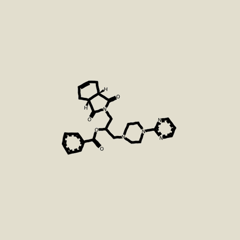 O=C(OC(CN1CCN(c2ncccn2)CC1)CN1C(=O)[C@H]2CC=CC[C@H]2C1=O)c1ccccc1